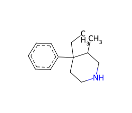 CCC1(c2ccccc2)CCNCC1C